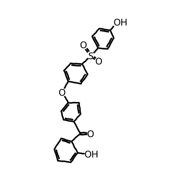 O=C(c1ccc(Oc2ccc(S(=O)(=O)c3ccc(O)cc3)cc2)cc1)c1ccccc1O